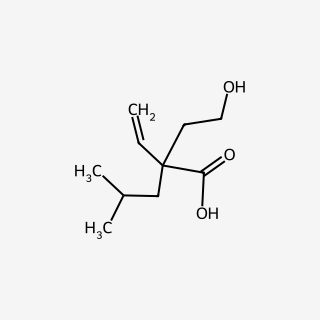 C=CC(CCO)(CC(C)C)C(=O)O